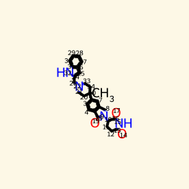 CC1(c2ccc3c(c2)CN(C2CCC(=O)NC2=O)C3=O)CCN(Cc2cc3ccccc3[nH]2)CC1